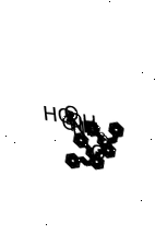 C(=Cc1cccc(Oc2cccc(C=Cc3ccccc3)c2C=Cc2ccccc2)c1C=Cc1ccccc1)c1ccccc1.N.N.O=S(=O)(O)O